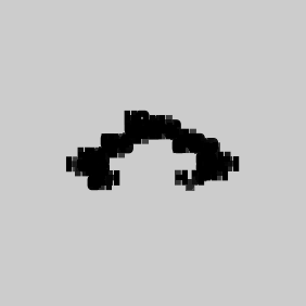 NCC(=O)N[C@@H](CO)C(=O)N[C@@H](CO)C(=O)NCC(=O)NCC(=O)NCC(=O)NCC(=O)N[C@@H](CO)C(=O)NCC(=O)NCC(=O)NCC(=O)NCC(=O)N[C@@H](CO)C(=O)N[C@@H](CO)C(=O)O